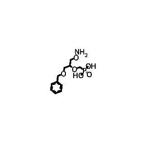 NOCC(COCc1ccccc1)OCP(=O)(O)O